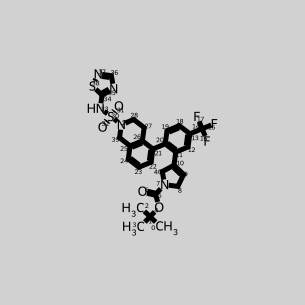 CC(C)(C)OC(=O)N1CC=C(c2cc(C(F)(F)F)ccc2-c2cccc3c2CCN(S(=O)(=O)Nc2ncns2)C3)C1